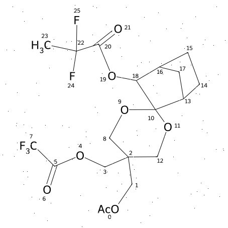 CC(=O)OCC1(COC(=O)C(F)(F)F)COC2(OC1)C1CCC(C1)C2OC(=O)C(C)(F)F